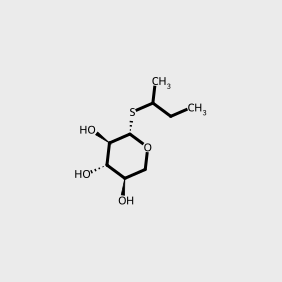 CCC(C)S[C@@H]1OC[C@@H](O)[C@H](O)[C@H]1O